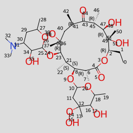 CC[C@H]1OC(=O)[C@H](C)[C@@H](OC2CC(C)(OO)C(O)C(C)O2)[C@H](C)[C@@H](OC2OC(C)CC(N(C)C)C2O)[C@](C)(OC)C[C@@H](C)C(=O)[C@H](C)[C@@H](O)[C@]1(C)O